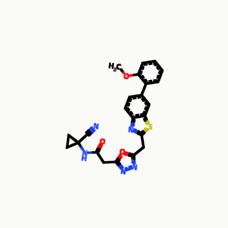 COc1ccccc1-c1ccc2nc(Cc3nnc(CC(=O)NC4(C#N)CC4)o3)sc2c1